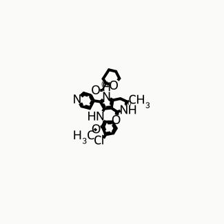 COc1c(Cl)cccc1Nc1c(-c2ccncc2OC[C@H]2CCCCO2)[nH]c2c1C(=O)N[C@H](C)C2